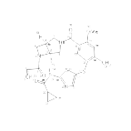 C=CC(=O)N1C[C@H]2CN(C(=O)c3cc(Sc4cnc(NC(=O)C5CC5)s4)c(C)cc3OC)C[C@H]21